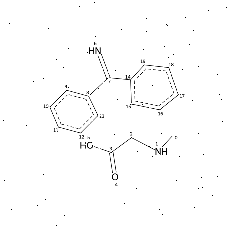 CNCC(=O)O.N=C(c1ccccc1)c1ccccc1